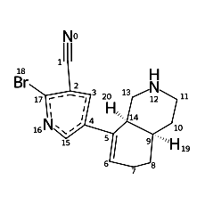 N#Cc1cc(C2=CCC[C@@H]3CCNC[C@H]23)cnc1Br